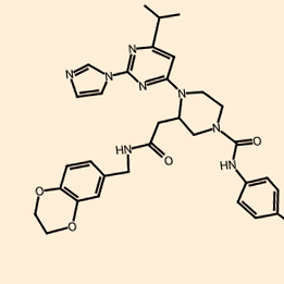 COc1ccc(NC(=O)N2CCN(c3cc(C(C)C)nc(-n4ccnc4)n3)C(CC(=O)NCc3ccc4c(c3)OCCO4)C2)cc1